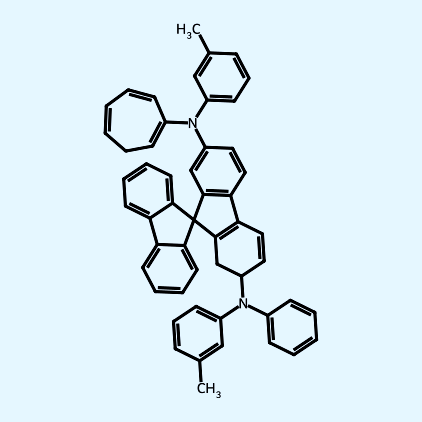 Cc1cccc(N(C2=CCC=CC=C2)c2ccc3c(c2)C2(C4=C3C=CC(N(c3ccccc3)c3cccc(C)c3)C4)c3ccccc3-c3ccccc32)c1